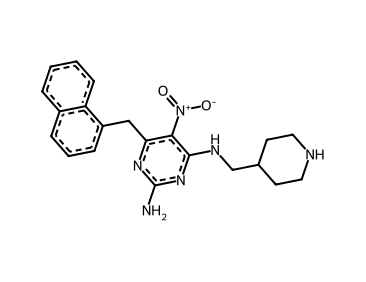 Nc1nc(Cc2cccc3ccccc23)c([N+](=O)[O-])c(NCC2CCNCC2)n1